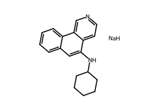 [NaH].c1ccc2c(c1)cc(NC1CCCCC1)c1ccncc12